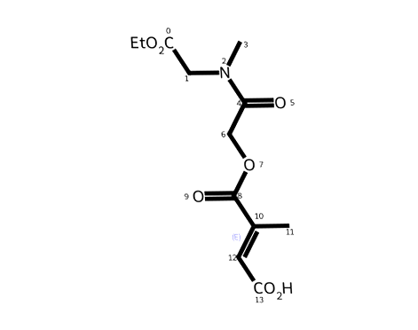 CCOC(=O)CN(C)C(=O)COC(=O)/C(C)=C/C(=O)O